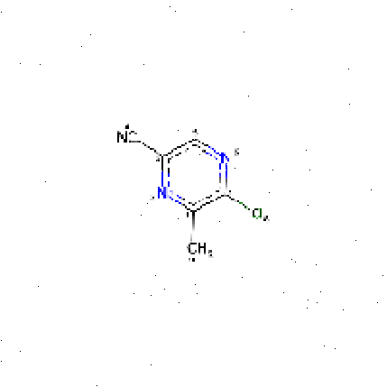 Cc1nc(C#N)cnc1Cl